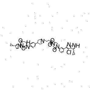 O=C1CN(S(=O)(=O)CCCN2CCC(c3ccc(NC4CCC(=O)N(n5ccc(C6CC6)c5)C4=O)cc3)CC2)CCN1c1cccc(-c2cnc3[nH]cc(C4CC4)c3c2Cl)c1